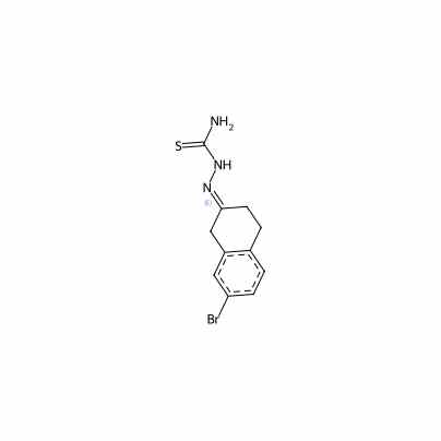 NC(=S)N/N=C1\CCc2ccc(Br)cc2C1